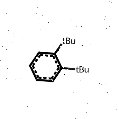 CC(C)(C)c1ccccc1C(C)(C)C